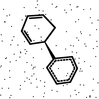 [C]1=CC[C@@H](c2ccccc2)C=C1